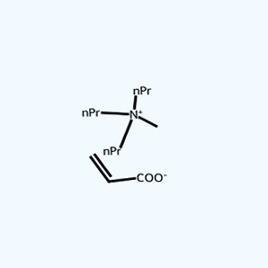 C=CC(=O)[O-].CCC[N+](C)(CCC)CCC